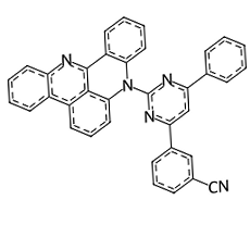 N#Cc1cccc(-c2cc(-c3ccccc3)nc(N3c4ccccc4-c4nc5ccccc5c5cccc3c45)n2)c1